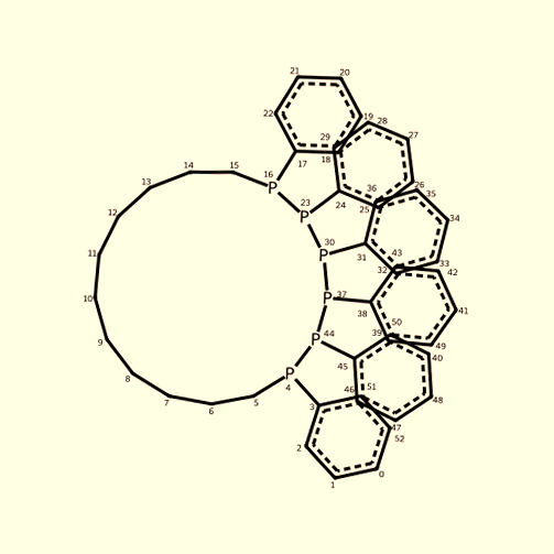 c1ccc(P2CCCCCCCCCCCP(c3ccccc3)P(c3ccccc3)P(c3ccccc3)P(c3ccccc3)P2c2ccccc2)cc1